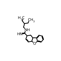 CCC(CC)CNC(=N)C1C=CC2Oc3ccccc3C2C1